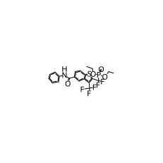 CCOP(=O)(OCC)C(F)(F)c1sc2ccc(C(=O)Nc3ccccc3)cc2c1C(F)(F)F